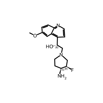 COc1ccc2nccc([C@@H](O)CN3CC[C@H](N)[C@H](F)C3)c2c1